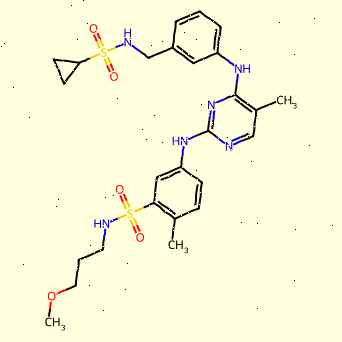 COCCCNS(=O)(=O)c1cc(Nc2ncc(C)c(Nc3cccc(CNS(=O)(=O)C4CC4)c3)n2)ccc1C